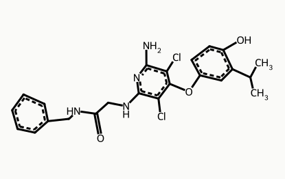 CC(C)c1cc(Oc2c(Cl)c(N)nc(NCC(=O)NCc3ccccc3)c2Cl)ccc1O